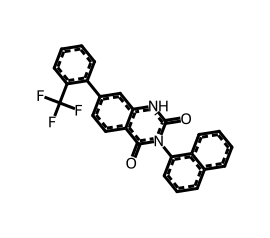 O=c1[nH]c2cc(-c3ccccc3C(F)(F)F)ccc2c(=O)n1-c1cccc2ccccc12